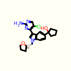 Nc1ncc(Cl)c(-c2cn(C[C@@H]3CCCO3)c3ccc(C4(O)CCCC4)cc23)n1